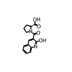 O=C(O)[C@@H]1CCCN1C(=O)c1cc2ccccc2nc1O